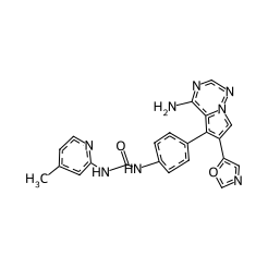 Cc1ccnc(NC(=O)Nc2ccc(-c3c(-c4cnco4)cn4ncnc(N)c34)cc2)c1